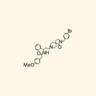 COc1ccc(CC(=O)NC(CCN2CCC3(CC2)CCN(Cc2ccc(Br)cc2)C3=O)c2ccccc2)cc1